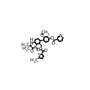 COc1cc(OC(=O)c2cccnc2)ccc1-c1ccc2c(c1COC(=O)c1ccc(C)s1)N(C)C(=O)C(C)(C)N2